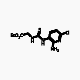 CCOC(=O)CNC(=S)Nc1ccc(Cl)nc1N